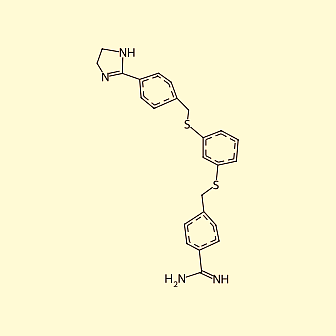 N=C(N)c1ccc(CSc2cccc(SCc3ccc(C4=NCCN4)cc3)c2)cc1